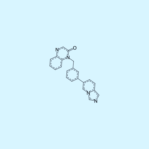 O=c1cnc2ccccc2n1Cc1cccc(-c2ccc3cncn3c2)c1